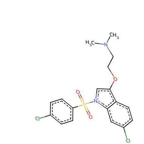 CN(C)CCOc1cn(S(=O)(=O)c2ccc(Cl)cc2)c2cc(Cl)ccc12